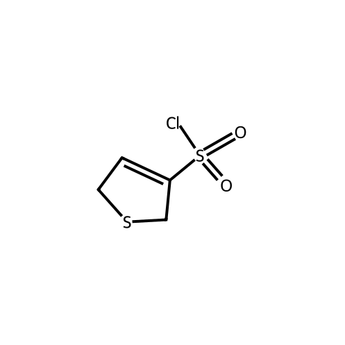 O=S(=O)(Cl)C1=CCSC1